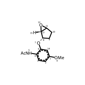 COc1ccc(NC(C)=O)c(O[C@H]2CCC3O[C@H]32)c1